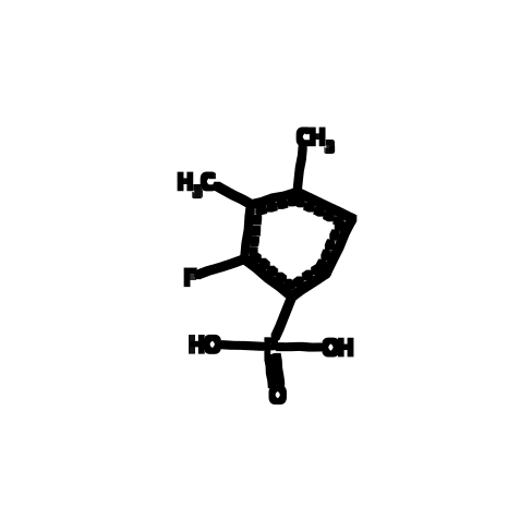 Cc1ccc(P(=O)(O)O)c(F)c1C